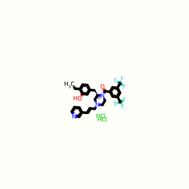 CCc1ccc(C[C@@H]2CN(CC=Cc3cccnc3)CCN2C(=O)c2cc(C(F)(F)F)cc(C(F)(F)F)c2)cc1O.Cl.Cl